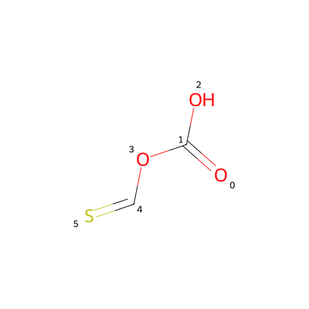 O=C(O)OC=S